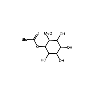 COC1C(O)C(O)C(O)C(O)C1OC(=O)C(C)(C)C